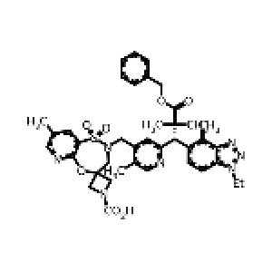 CCn1nnc2c(C)c([C@H](c3cc(CN4CC5(CN(C(=O)O)C5)Oc5ncc(C)cc5S4(=O)=O)c(C)cn3)C(C)(C)C(=O)OCc3ccccc3)ccc21